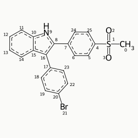 CS(=O)(=O)c1ccc(-c2[nH]c3ccccc3c2-c2ccc(Br)cc2)cc1